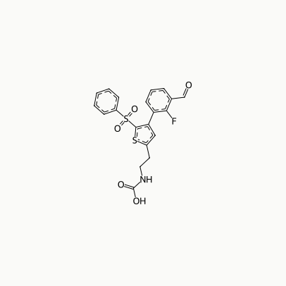 O=Cc1cccc(-c2cc(CCNC(=O)O)sc2S(=O)(=O)c2ccccc2)c1F